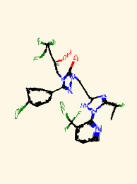 CC(F)C1=NC(Cn2nc(-c3ccc(Cl)cc3)n(C[C@H](O)C(F)(F)F)c2=O)NN1c1ncccc1C(F)(F)F